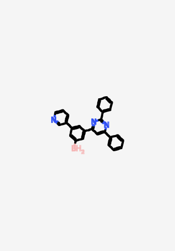 Bc1cc(-c2cccnc2)cc(-c2cc(-c3ccccc3)nc(-c3ccccc3)n2)c1